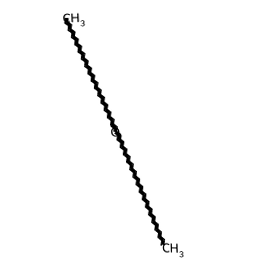 CCCCCCCCCCCCCCCCCCCCCCCCCCCCCC=COC=CCCCCCCCCCCCCCCCCCCCCCCCCCCCCC